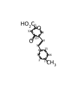 Cc1ccc(/C=C/c2coc(C(=O)O)cc2=O)cc1